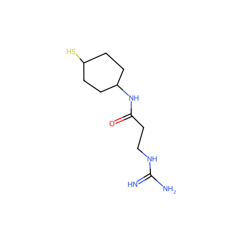 N=C(N)NCCC(=O)NC1CCC(S)CC1